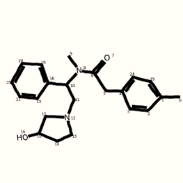 Cc1ccc(CC(=O)N(C)C(CN2CCC(O)C2)c2ccccc2)cc1